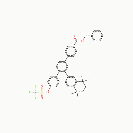 CC1(C)CCC(C)(C)c2cc(-c3cc(-c4ccc(C(=O)OCc5ccccc5)cc4)ccc3-c3ccc(OS(=O)(=O)C(F)(F)F)cc3)ccc21